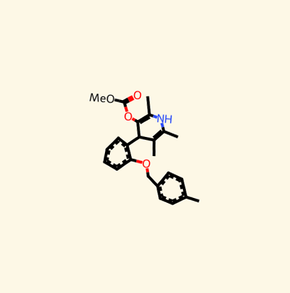 COC(=O)OC1=C(C)NC(C)=C(C)C1c1ccccc1OCc1ccc(C)cc1